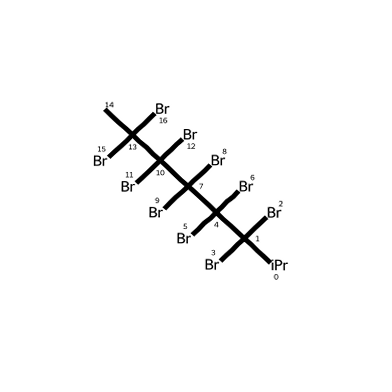 CC(C)C(Br)(Br)C(Br)(Br)C(Br)(Br)C(Br)(Br)C(C)(Br)Br